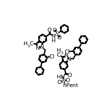 CCCCCS(=O)(=O)NC(=O)c1ccc2c(C)nn(Cc3ccc(-c4ccccc4)cc3Cl)c2c1.Cc1nn(Cc2ccc(-c3ccccc3)cc2Cl)c2cc(C(=O)NS(=O)(=O)c3ccccc3)ccc12